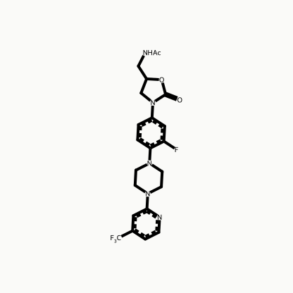 CC(=O)NCC1CN(c2ccc(N3CCN(c4cc(C(F)(F)F)ccn4)CC3)c(F)c2)C(=O)O1